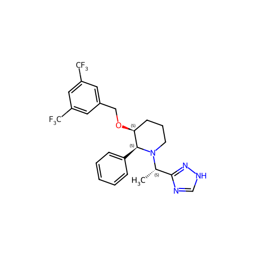 C[C@@H](c1nc[nH]n1)N1CCC[C@H](OCc2cc(C(F)(F)F)cc(C(F)(F)F)c2)[C@@H]1c1ccccc1